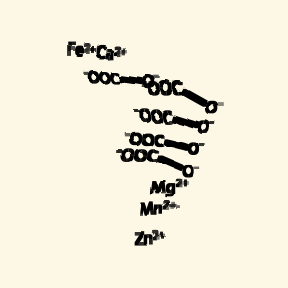 O=C([O-])[O-].O=C([O-])[O-].O=C([O-])[O-].O=C([O-])[O-].O=C([O-])[O-].[Ca+2].[Fe+2].[Mg+2].[Mn+2].[Zn+2]